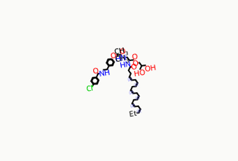 CC/C=C\C/C=C\C/C=C\C/C=C\C/C=C\C/C=C\CCC(=O)NC(CNC(=O)C(C)(C)Oc1ccc(CCNC(=O)c2ccc(Cl)cc2)cc1)C(=O)OCC(CO)CO